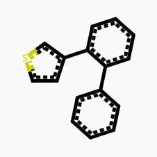 c1ccc(-c2ccccc2-c2ccsc2)cc1